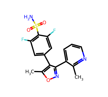 Cc1ncccc1-c1noc(C)c1-c1cc(F)c(S(N)(=O)=O)c(F)c1